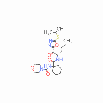 CCCC[C@H](NC(=O)C1(NC(=O)N2CCOCC2)CCCCC1)C(=O)c1nnc(SC(C)C)o1